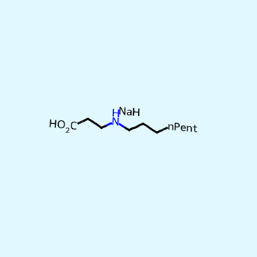 CCCCCCCCNCCC(=O)O.[NaH]